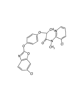 CC(Oc1ccc(Oc2nc3ccc(Cl)cc3o2)cc1)C(=O)N(C)c1ncccc1Cl